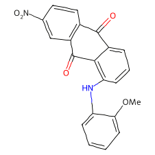 COc1ccccc1Nc1cccc2c1C(=O)c1cc([N+](=O)[O-])ccc1C2=O